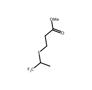 COC(=O)CCSC(C)C(F)(F)F